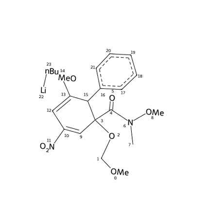 COCOC1(C(=O)N(C)OC)C=C([N+](=O)[O-])C=C(OC)C1c1ccccc1.[Li][CH2]CCC